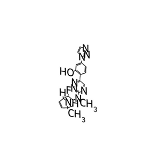 CN(c1ncc(-c2ccc(-n3ccnn3)cc2O)nn1)[C@H]1C[C@]2(C)C=C[C@@H](N2)[C@@H]1F